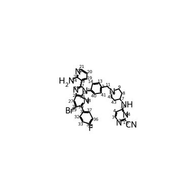 N#Cc1nccc(NC2CCN(Cc3ccc(-n4c(-c5cccnc5N)nc5cc(Br)c(-c6ccc(F)cc6)nc54)cc3)CC2)n1